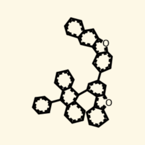 c1ccc(-c2c3ccccc3c(-c3cc(-c4ccc5oc6cc7ccccc7cc6c5c4)cc4oc5ccccc5c34)c3ccccc23)cc1